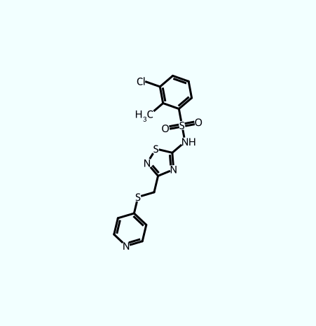 Cc1c(Cl)cccc1S(=O)(=O)Nc1nc(CSc2ccncc2)ns1